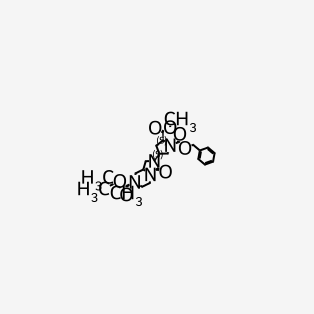 COC(=O)[C@@H]1C[C@H](N2CC3CN(C(=O)OC(C)(C)C)CCN3C2=O)CN1C(=O)OCc1ccccc1